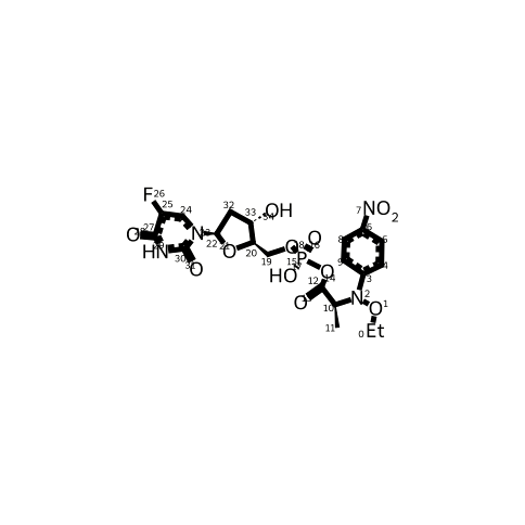 CCON(c1ccc([N+](=O)[O-])cc1)[C@@H](C)C(=O)OP(=O)(O)OC[C@H]1O[C@@H](n2cc(F)c(=O)[nH]c2=O)C[C@@H]1O